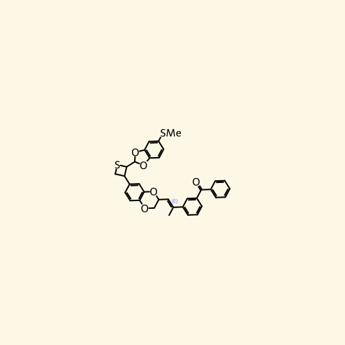 CSc1ccc2c(c1)OC(C1SCC1c1ccc3c(c1)OC(/C=C(\C)c1cccc(C(=O)c4ccccc4)c1)CO3)O2